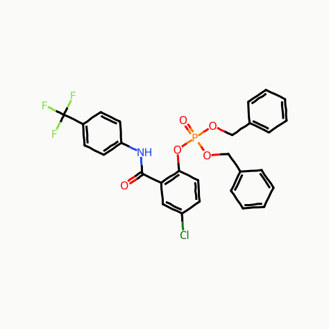 O=C(Nc1ccc(C(F)(F)F)cc1)c1cc(Cl)ccc1OP(=O)(OCc1ccccc1)OCc1ccccc1